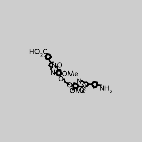 COc1cc2c(cc1OCCCOc1cc3c(cc1OC)C(=O)N1C=C(c4ccc(C(=O)O)cc4)CC1C=N3)N=CC1CC(c3ccc(CN)cc3)=CN1C2=O